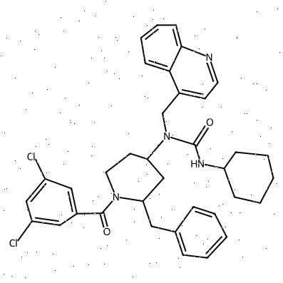 O=C(NC1CCCCC1)N(Cc1ccnc2ccccc12)C1CCN(C(=O)c2cc(Cl)cc(Cl)c2)C(Cc2ccccc2)C1